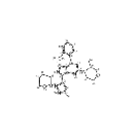 Cc1cc(-c2nsc3c(-c4cccnc4C(F)(F)F)cc(N4CCOCC4C)nc23)n(C2CCCCO2)n1